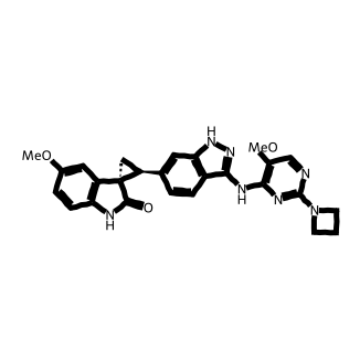 COc1ccc2c(c1)[C@]1(C[C@H]1c1ccc3c(Nc4nc(N5CCC5)ncc4OC)n[nH]c3c1)C(=O)N2